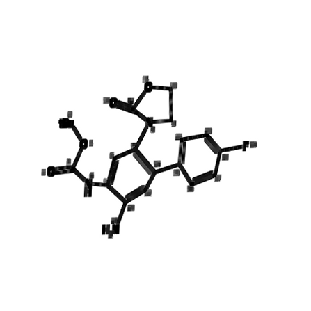 CC(C)(C)OC(=O)Nc1cc(N2CCOC2=O)c(-c2ccc(F)cc2)cc1N